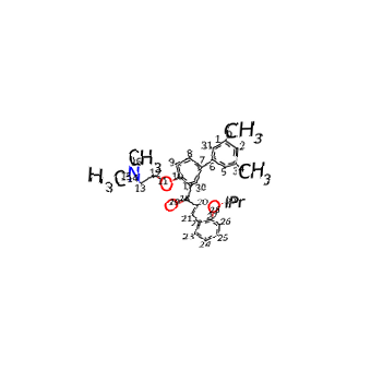 Cc1cc(C)cc(-c2ccc(OCCN(C)C)c(C(=O)C=Cc3ccccc3OC(C)C)c2)c1